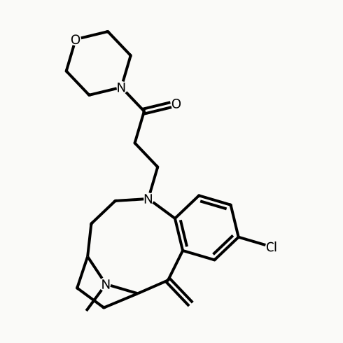 C=C1c2cc(Cl)ccc2N(CCC(=O)N2CCOCC2)CCC2CCC1N2C